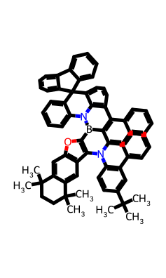 CC(C)(C)c1ccc(N2c3cc4ccccc4c4c3B(c3oc5cc6c(cc5c32)C(C)(C)CCC6(C)C)N2c3ccccc3C3(c5ccccc5-c5ccccc53)c3cccc-4c32)c(-c2ccccc2)c1